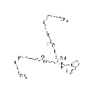 CCCCC/C=C\C/C=C\CCCCCCCC(=O)OCCCCCC(O)C(CCCCOC(=O)CCCCCCC/C=C\C/C=C\CCCCC)CNCCCN1CCCCC1CC